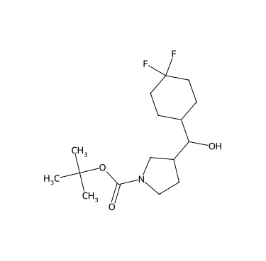 CC(C)(C)OC(=O)N1CCC(C(O)C2CCC(F)(F)CC2)C1